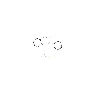 NC(CS)C(=O)O.OC1Cc2ccccc2OC1c1ccccc1